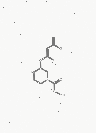 C=C(Cl)/C=C(\CC)OC1CN(C(=O)OC(C)(C)C)CCN1